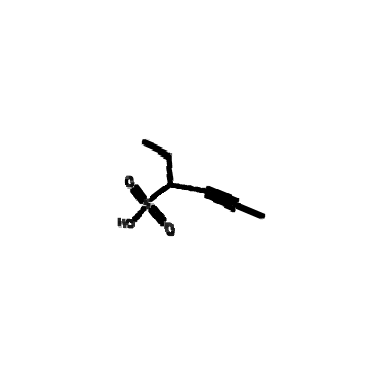 CC#CC(CC)S(=O)(=O)O